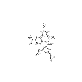 CNC(=O)c1cc(-n2nc(C3CC3)nc2[C@H](C)NC(=O)c2cc(OC(F)(F)F)cc(C3CC3)c2)ncn1